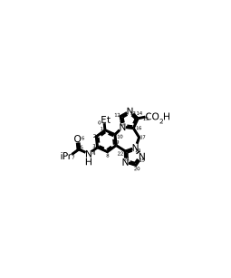 CCc1cc(NC(=O)C(C)C)cc2c1-n1cnc(C(=O)O)c1Cn1ncnc1-2